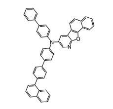 c1ccc(-c2ccc(N(c3ccc(-c4ccc(-c5cccc6ccccc56)cc4)cc3)c3cnc4oc5c6ccccc6ccc5c4c3)cc2)cc1